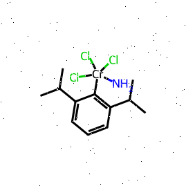 CC(C)c1cccc(C(C)C)[c]1[Cr]([NH2])([Cl])([Cl])[Cl]